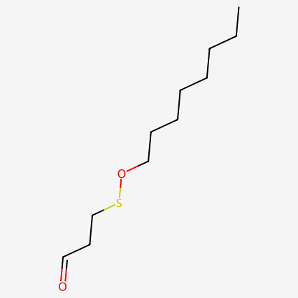 CCCCCCCCOSCCC=O